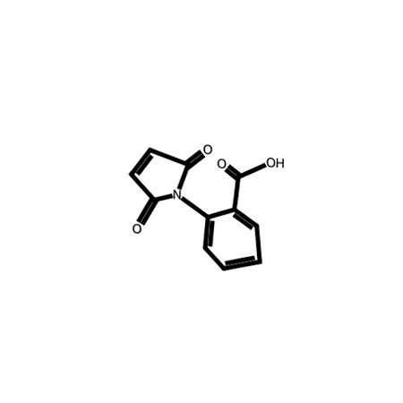 O=C(O)c1ccccc1N1C(=O)C=CC1=O